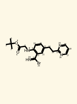 CC(C)(C)OC(=O)CNc1ccc(CCc2ncccn2)cc1C(=N)Br